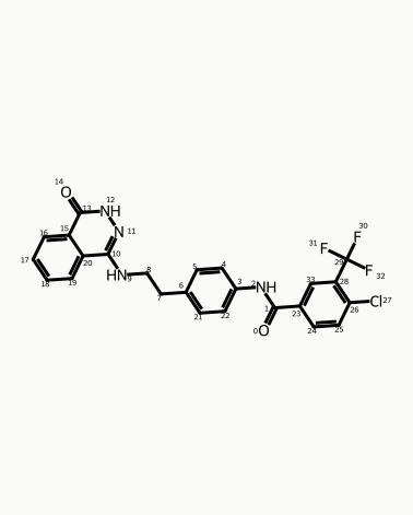 O=C(Nc1ccc(CCNc2n[nH]c(=O)c3ccccc23)cc1)c1ccc(Cl)c(C(F)(F)F)c1